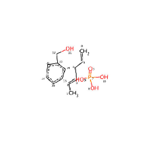 C=CCC=CC.O=P(O)(O)O.OCc1ccccc1